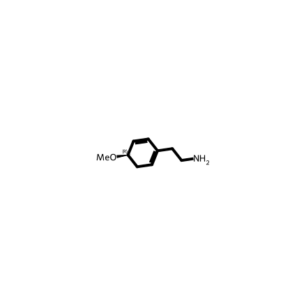 CO[C@H]1C=CC(CCN)=CC1